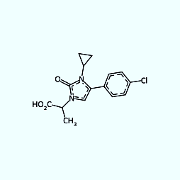 CC(C(=O)O)n1cc(-c2ccc(Cl)cc2)n(C2CC2)c1=O